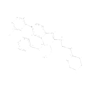 COC/C(=N\c1ccc(-c2ccnc(F)c2)nc1NCc1cccnc1)NCCC1CCOCC1